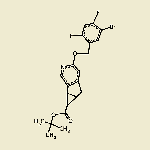 CC(C)(C)OC(=O)C1C2Cc3cc(OCc4cc(Br)c(F)cc4F)ncc3C21